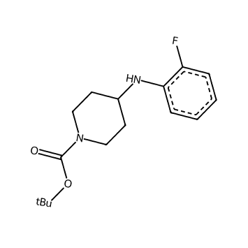 CC(C)(C)OC(=O)N1CCC(Nc2ccccc2F)CC1